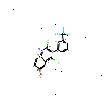 FC(F)(F)c1cccc(-c2c(Cl)nc3ccc(Br)cc3c2Cl)c1